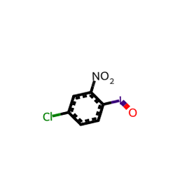 O=Ic1ccc(Cl)cc1[N+](=O)[O-]